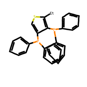 CCc1scc(P(c2ccccc2)c2ccccc2)c1P(c1ccccc1)c1ccccc1